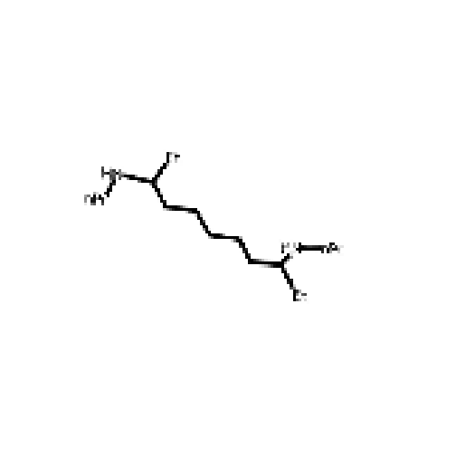 CCCNC(CC)CCCCCC(CC)NCCC